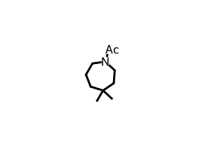 CC(=O)N1CCCC(C)(C)CC1